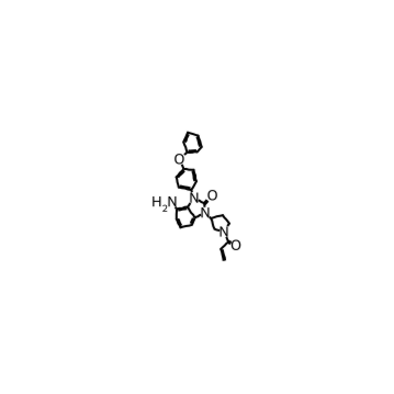 C=CC(=O)N1CCC(n2c(=O)n(-c3ccc(Oc4ccccc4)cc3)c3c(N)cccc32)C1